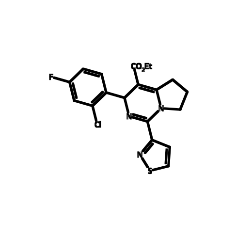 CCOC(=O)C1=C2CCCN2C(c2ccsn2)=NC1c1ccc(F)cc1Cl